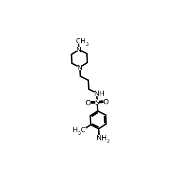 Cc1cc(S(=O)(=O)NCCCN2CCN(C)CC2)ccc1N